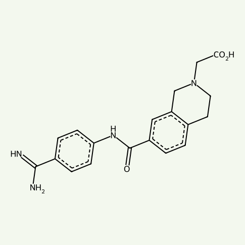 N=C(N)c1ccc(NC(=O)c2ccc3c(c2)CN(CC(=O)O)CC3)cc1